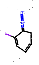 [N-]=[N+]=C1CC=[C]C=C1I